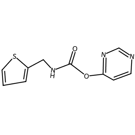 O=C(NCc1cccs1)Oc1ccncn1